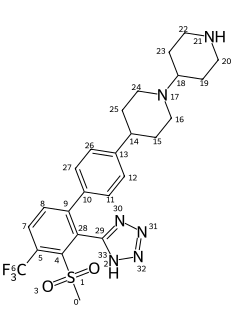 CS(=O)(=O)c1c(C(F)(F)F)ccc(-c2ccc(C3CCN(C4CCNCC4)CC3)cc2)c1-c1nnn[nH]1